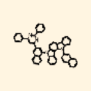 c1ccc(-c2cc(-c3cc(-n4c5ccccc5c5c4ccc4c6ccccc6n(-c6ccc7ccccc7c6)c45)c4ccccc4c3)nc(-c3ccccc3)n2)cc1